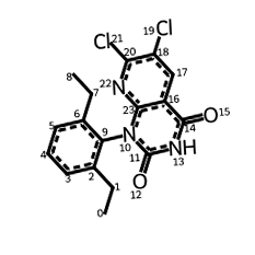 CCc1cccc(CC)c1-n1c(=O)[nH]c(=O)c2cc(Cl)c(Cl)nc21